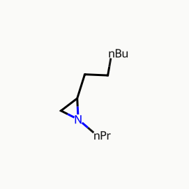 CCCCCCC1CN1CCC